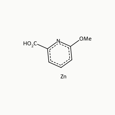 COc1cccc(C(=O)O)n1.[Zn]